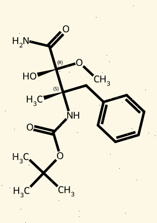 CO[C@@](O)(C(N)=O)[C@](C)(Cc1ccccc1)NC(=O)OC(C)(C)C